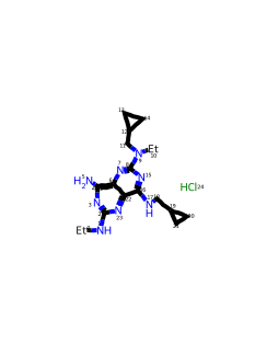 CCNc1nc(N)c2nc(N(CC)CC3CC3)nc(NCC3CC3)c2n1.Cl